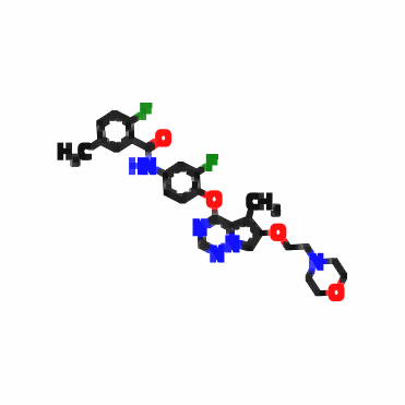 Cc1ccc(F)c(C(=O)Nc2ccc(Oc3ncnn4cc(OCCN5CCOCC5)c(C)c34)c(F)c2)c1